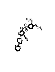 COc1ccc(S(=O)(=O)Nc2cnc(N3CCN(c4ncccn4)CC3)c(C#N)c2)cc1OC